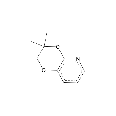 CC1(C)COc2cccnc2O1